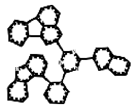 c1ccc(-c2cccc3oc4ccccc4c23)c(-c2nc(-c3ccc4ccccc4c3)nc(-c3cc4c5c(cccc5c3)-c3ccccc3-4)n2)c1